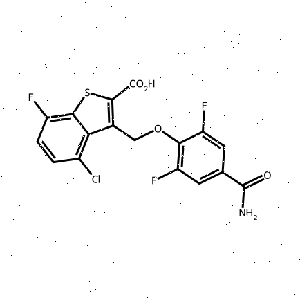 NC(=O)c1cc(F)c(OCc2c(C(=O)O)sc3c(F)ccc(Cl)c23)c(F)c1